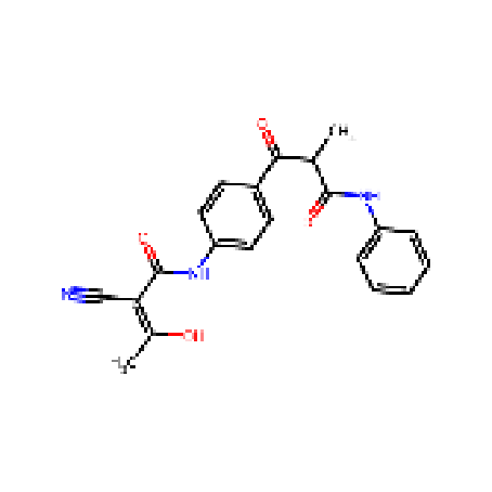 CC(O)=C(C#N)C(=O)Nc1ccc(C(=O)C(C)C(=O)Nc2ccccc2)cc1